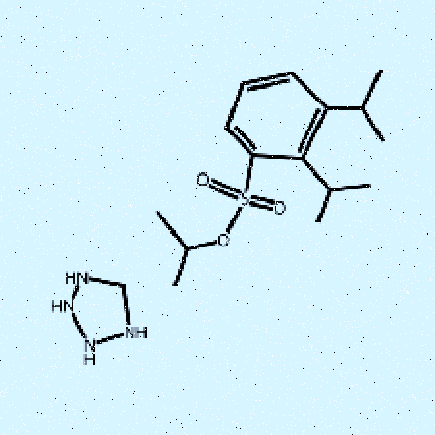 C1NNNN1.CC(C)OS(=O)(=O)c1cccc(C(C)C)c1C(C)C